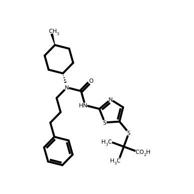 CC(C)(Sc1cnc(NC(=O)N(CCCc2ccccc2)[C@H]2CC[C@H](C)CC2)s1)C(=O)O